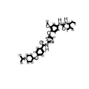 CCC(NC(=O)Nc1ccc(Oc2cnc(NC(=O)c3ccc(OC4CCN(C(C)C)CC4)cc3)s2)c(OC)c1)C(C)I